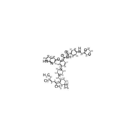 CC/C(Cl)=C\C=C(/C)C1=C(CN2CCN(c3ccc(C(=O)N[S+]([O-])c4ccc(NCC5COCCO5)cc4)c(Oc4cnc5[nH]ccc5c4)c3)CC2)CCC2(CCC2)C1